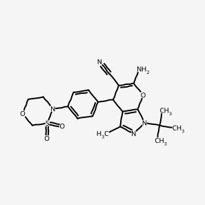 Cc1nn(C(C)(C)C)c2c1C(c1ccc(N3CCOCS3(=O)=O)cc1)C(C#N)=C(N)O2